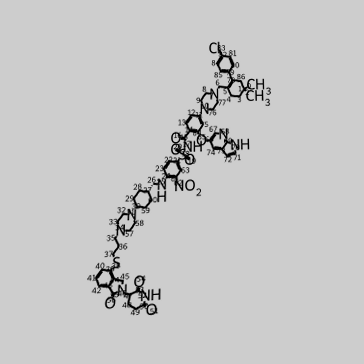 CC1(C)CCC(CN2CCN(c3ccc(C(=O)NS(=O)(=O)c4ccc(NC[C@H]5CC[C@H](N6CCN(CCCSc7cccc8c7CN(C7CCC(=O)NC7=O)C8=O)CC6)CC5)c([N+](=O)[O-])c4)c(Oc4cnc5[nH]ccc5c4)c3)CC2)=C(c2ccc(Cl)cc2)C1